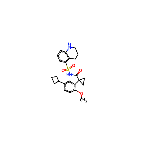 COc1ccc(C2CCC2)cc1C1(C(=O)NS(=O)(=O)c2cccc3c2CCCN3)CC1